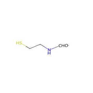 O=[C]NCCS